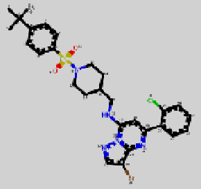 CCC(C)(C)c1ccc(S(=O)(=O)N2CCC(CNc3cc(-c4ccccc4Cl)nc4c(Br)cnn34)CC2)cc1